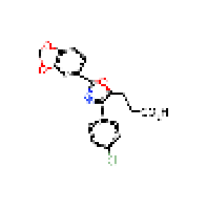 O=C(O)CCc1oc(-c2ccc3c(c2)OCO3)nc1-c1ccc(Cl)cc1